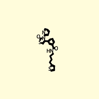 O=C(NCCCCc1cccs1)c1cccc(-c2csc(=O)n2-c2ccccn2)c1